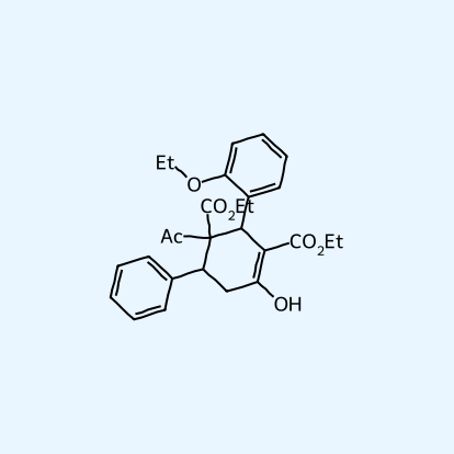 CCOC(=O)C1=C(O)CC(c2ccccc2)C(C(C)=O)(C(=O)OCC)C1c1ccccc1OCC